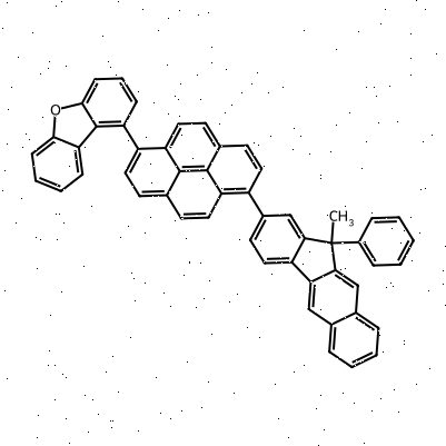 CC1(c2ccccc2)c2cc(-c3ccc4ccc5c(-c6cccc7oc8ccccc8c67)ccc6ccc3c4c65)ccc2-c2cc3ccccc3cc21